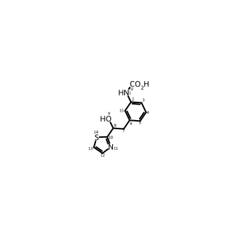 O=C(O)Nc1cccc(CC(O)c2nccs2)c1